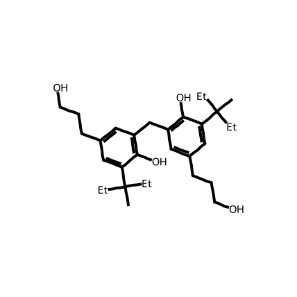 CCC(C)(CC)c1cc(CCCO)cc(Cc2cc(CCCO)cc(C(C)(CC)CC)c2O)c1O